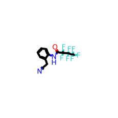 N#CCc1ccccc1NC(=O)C(F)(F)C(F)(F)C(F)(F)F